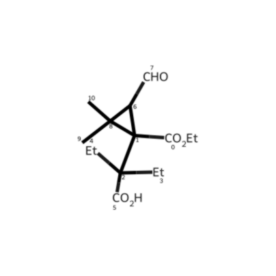 CCOC(=O)C1(C(CC)(CC)C(=O)O)C(C=O)C1(C)C